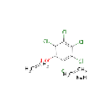 C=C.C=C.Oc1c(Cl)c(Cl)c(Cl)c(Cl)c1Cl.[NaH]